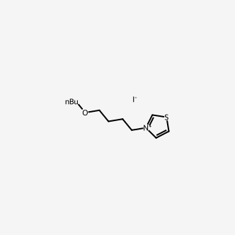 CCCCOCCCC[n+]1ccsc1.[I-]